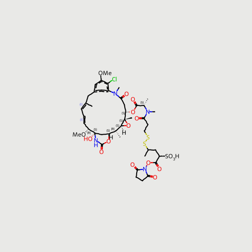 COc1cc2cc(c1Cl)N(C)C(=O)C[C@H](OC(=O)[C@H](C)N(C)C(=O)CCSSC(C)CC(C(=O)ON1C(=O)CCC1=O)S(=O)(=O)O)[C@]1(C)O[C@H]1[C@H](C)[C@@H]1C[C@@](O)(NC(=O)O1)[C@H](OC)/C=C/C=C(\C)C2